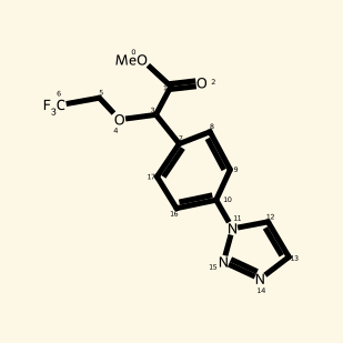 COC(=O)C(OCC(F)(F)F)c1ccc(-n2ccnn2)cc1